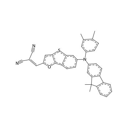 Cc1ccc(N(c2ccc3c(c2)C(C)(C)c2ccccc2-3)c2ccc3c(c2)sc2cc(C=C(C#N)C#N)oc23)cc1C